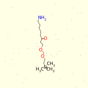 C[Si](C)(C)CCOCOCCC(=O)CCCCCN